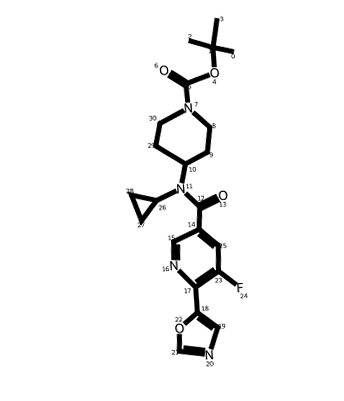 CC(C)(C)OC(=O)N1CCC(N(C(=O)c2cnc(-c3cnco3)c(F)c2)C2CC2)CC1